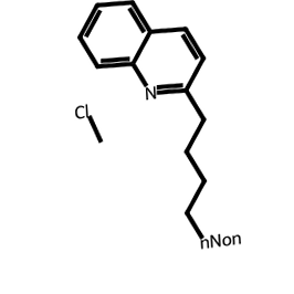 CCCCCCCCCCCCCc1ccc2ccccc2n1.CCl